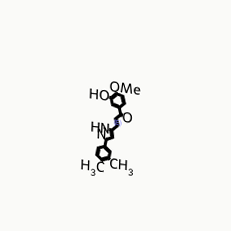 COc1ccc(C(=O)/C=C/c2cc(-c3ccc(C)c(C)c3)n[nH]2)cc1O